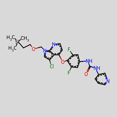 C[Si](C)(C)CCOCn1cc(Cl)c2c(Oc3c(F)cc(NC(=O)Nc4cccnc4)cc3F)ccnc21